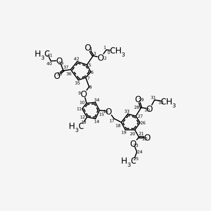 CCOC(=O)c1cc(COc2cc(C)cc(OCc3cc(C(=O)OCC)cc(C(=O)OCC)c3)c2)cc(C(=O)OCC)c1